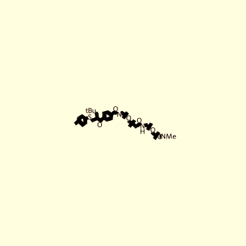 CNCC(C)(C)COC(C)(C)CNC(=O)CC(C)(C)COC(C)(C)CNC(=O)c1ccc(C(=O)C(CSc2ccc(C)cc2)CC(C)(C)C)cc1